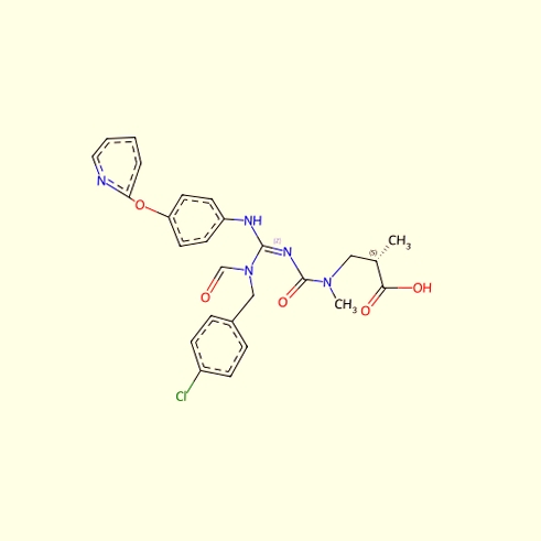 C[C@@H](CN(C)C(=O)/N=C(/Nc1ccc(Oc2ccccn2)cc1)N(C=O)Cc1ccc(Cl)cc1)C(=O)O